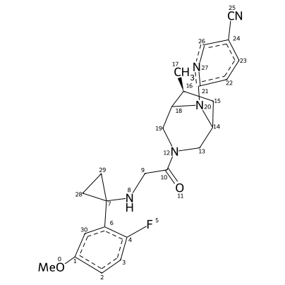 COc1ccc(F)c(C2(NCC(=O)N3CC4C[C@H](C)C(C3)N4c3ccc(C#N)cn3)CC2)c1